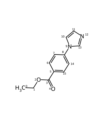 CCOC(=O)c1ccc(-n2ccnc2)cc1